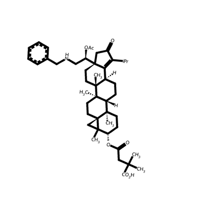 CC(=O)O[C@H](CNCc1ccccc1)[C@@]12CC[C@]3(C)[C@H](CC[C@@H]4[C@@]5(C)CC[C@H](OC(=O)CC(C)(C)C(=O)O)C6(C)C[C@]65CC[C@]43C)C1=C(C(C)C)C(=O)C2